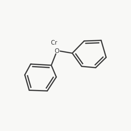 [Cr].c1ccc(Oc2ccccc2)cc1